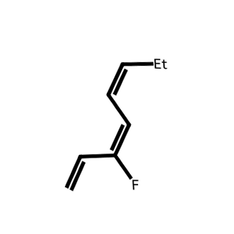 C=C/C(F)=C\C=C/CC